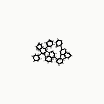 c1ccc(-c2cc3c4c(cccc4n2)-c2cccc(-c4ccc5c6c(cccc46)-c4c-5c(-c5ccccc5)c5ccccc5c4-c4ccccc4)c2-3)cc1